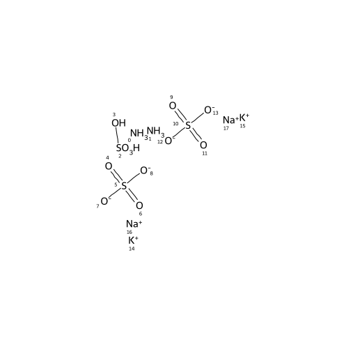 N.N.O=S(=O)(O)O.O=S(=O)([O-])[O-].O=S(=O)([O-])[O-].[K+].[K+].[Na+].[Na+]